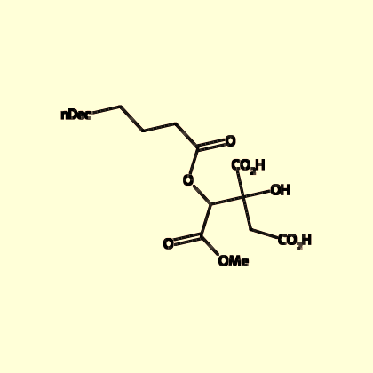 CCCCCCCCCCCCCC(=O)OC(C(=O)OC)C(O)(CC(=O)O)C(=O)O